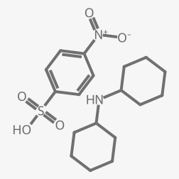 C1CCC(NC2CCCCC2)CC1.O=[N+]([O-])c1ccc(S(=O)(=O)O)cc1